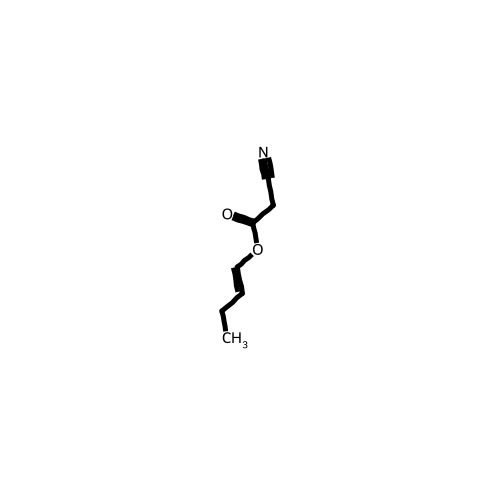 CCC=COC(=O)CC#N